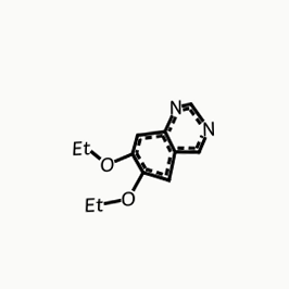 CCOc1cc2cncnc2cc1OCC